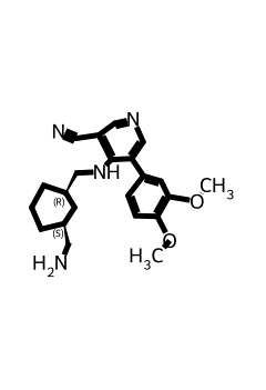 COc1ccc(-c2cncc(C#N)c2NC[C@@H]2CCC[C@H](CN)C2)cc1OC